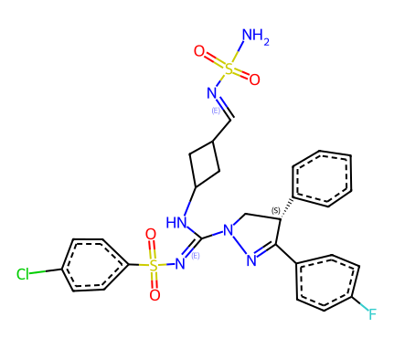 NS(=O)(=O)/N=C/C1CC(N/C(=N\S(=O)(=O)c2ccc(Cl)cc2)N2C[C@H](c3ccccc3)C(c3ccc(F)cc3)=N2)C1